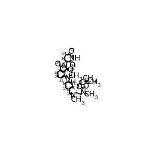 CN(CCN(C)C(=O)OC(C)(C)C)Cc1ccc(N(C)c2cccc3c2C(=O)N(C2CCC(=O)NC2=O)C3=O)cc1